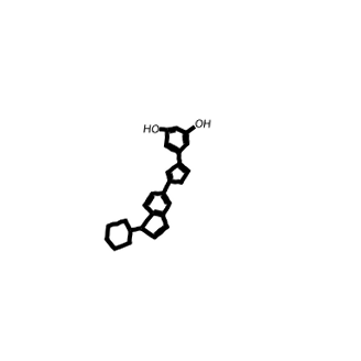 Oc1cc(O)cc(C2=CCC(c3ccc4c(c3)C=CC4C3CCCCC3)=C2)c1